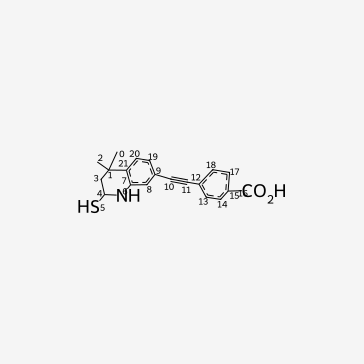 CC1(C)CC(S)Nc2cc(C#Cc3ccc(C(=O)O)cc3)ccc21